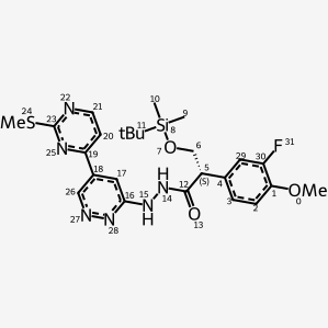 COc1ccc([C@@H](CO[Si](C)(C)C(C)(C)C)C(=O)NNc2cc(-c3ccnc(SC)n3)cnn2)cc1F